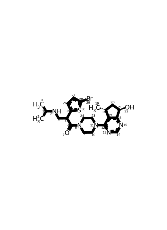 CC(C)NCC(C(=O)N1CCN(c2ncnc3c2[C@H](C)C[C@H]3O)CC1)c1ccc(Br)s1